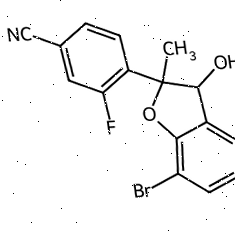 CC1(c2ccc(C#N)cc2F)Oc2c(Br)cccc2C1O